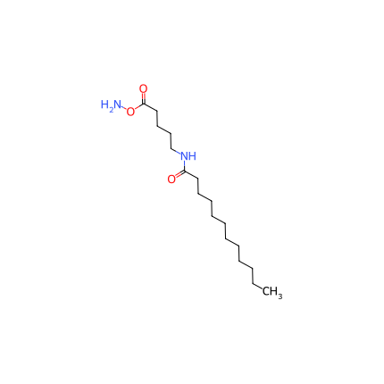 CCCCCCCCCCCC(=O)NCCCCC(=O)ON